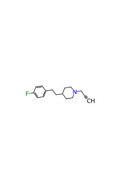 C#CCN1CCC(CCc2ccc(F)cc2)CC1